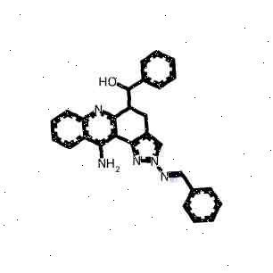 Nc1c2c(nc3ccccc13)C(C(O)c1ccccc1)Cc1cn(/N=C/c3ccccc3)nc1-2